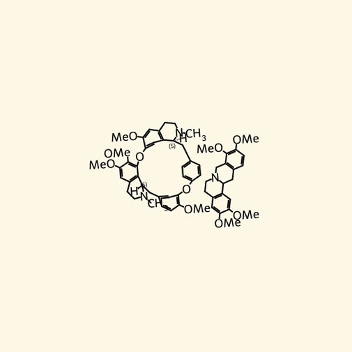 COc1cc2c(cc1OC)C1Cc3ccc(OC)c(OC)c3CN1CC2.COc1ccc2cc1Oc1ccc(cc1)C[C@H]1c3cc(c(OC)cc3CCN1C)Oc1c(OC)c(OC)cc3c1[C@H](C2)N(C)CC3